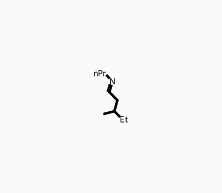 CCCN=CCC(C)CC